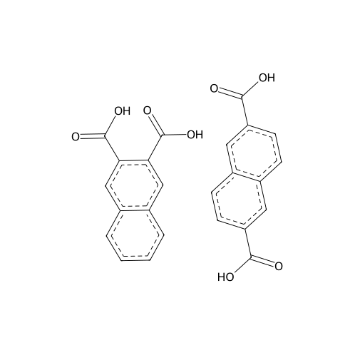 O=C(O)c1cc2ccccc2cc1C(=O)O.O=C(O)c1ccc2cc(C(=O)O)ccc2c1